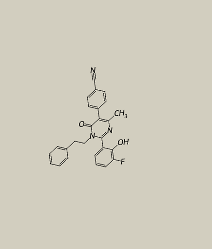 Cc1nc(-c2cccc(F)c2O)n(CCc2ccccc2)c(=O)c1-c1ccc(C#N)cc1